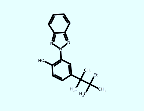 CCC(C)(C)C(C)(C)c1ccc(O)c(-n2nc3ccccc3n2)c1